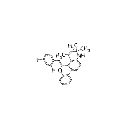 CC1=CC(C)(C)Nc2ccc3c(c21)C(=Cc1ccc(F)cc1F)Oc1ccccc1-3